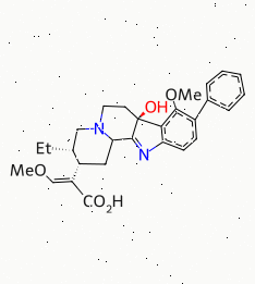 CC[C@@H]1CN2CC[C@@]3(O)C(=Nc4ccc(-c5ccccc5)c(OC)c43)C2C[C@@H]1/C(=C\OC)C(=O)O